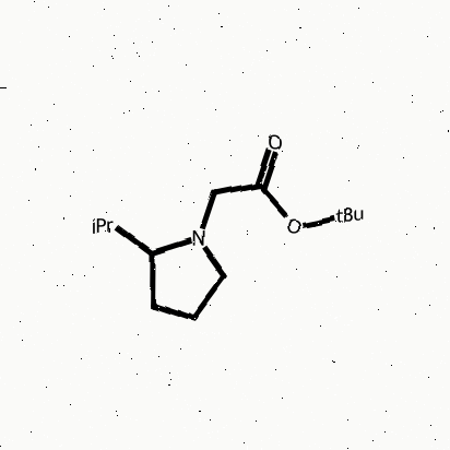 CC(C)C1CCCN1CC(=O)OC(C)(C)C